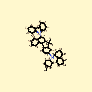 Cc1ccc(N(c2ccc3c(c2)C(C)(C)c2cc(-n4c5ccccc5c5ccccc54)c4ccccc4c2-3)c2cccc3ccccc23)cc1